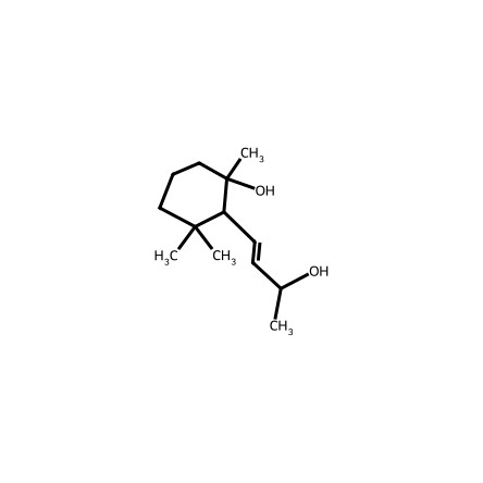 CC(O)/C=C/C1C(C)(C)CCCC1(C)O